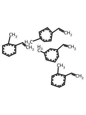 C=Cc1ccc(C)cc1.C=Cc1cccc(C)c1.C=Cc1ccccc1C.C=Cc1ccccc1C